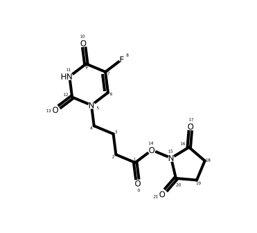 O=C(CCCn1cc(F)c(=O)[nH]c1=O)ON1C(=O)CCC1=O